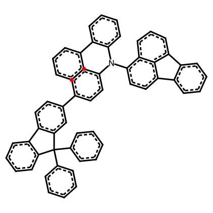 c1ccc(-c2ccccc2N(c2ccc(-c3ccc4c(c3)C(c3ccccc3)(c3ccccc3)c3ccccc3-4)cc2)c2ccc3c4c(cccc24)-c2ccccc2-3)cc1